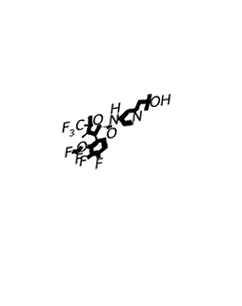 C[C@@H]1[C@H](c2ccc(F)c(F)c2OC(F)F)[C@@H](C(=O)Nc2ccnc(CC(C)(C)O)c2)O[C@]1(C)C(F)(F)F